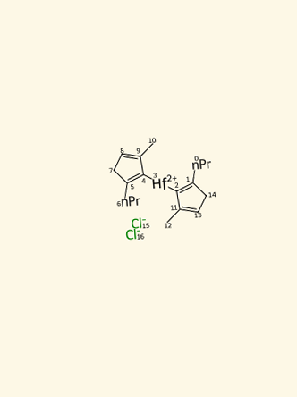 CCCC1=[C]([Hf+2][C]2=C(CCC)CC=C2C)C(C)=CC1.[Cl-].[Cl-]